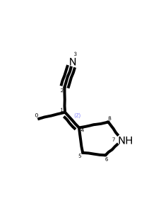 C/C(C#N)=C1\CCNC1